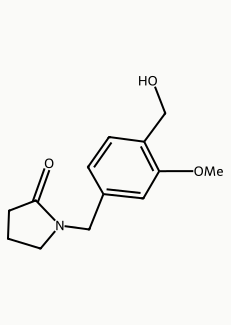 COc1cc(CN2CCCC2=O)ccc1CO